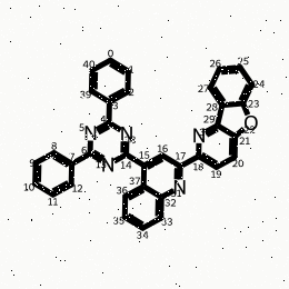 c1ccc(-c2nc(-c3ccccc3)nc(-c3cc(-c4ccc5oc6ccccc6c5n4)nc4ccccc34)n2)cc1